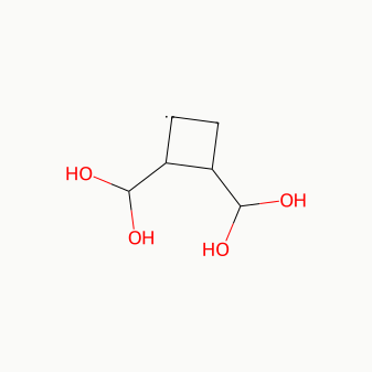 OC(O)C1[CH]CC1C(O)O